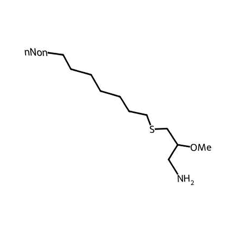 CCCCCCCCCCCCCCCCSCC(CN)OC